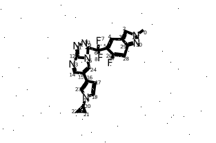 Cn1cc2cc(C(F)(F)c3nnc4ncc(-c5ccn(C6CC6)c5)cn34)c(F)cc2n1